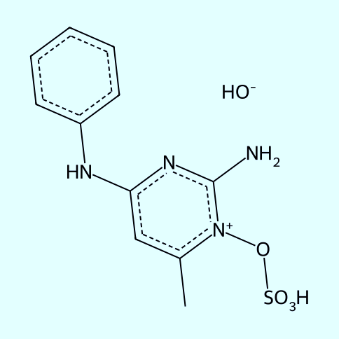 Cc1cc(Nc2ccccc2)nc(N)[n+]1OS(=O)(=O)O.[OH-]